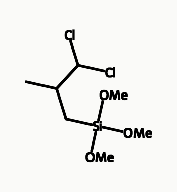 CO[Si](CC(C)C(Cl)Cl)(OC)OC